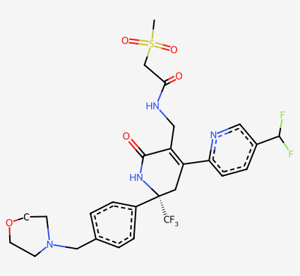 CS(=O)(=O)CC(=O)NCC1=C(c2ccc(C(F)F)cn2)C[C@](c2ccc(CN3CCOCC3)cc2)(C(F)(F)F)NC1=O